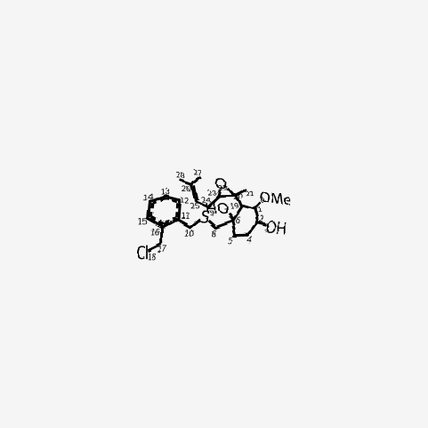 COC1C(O)CCC(O)(CSCc2ccccc2CCl)C1C1(C)OC1CC=C(C)C